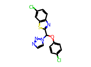 Clc1ccc(OC(c2nc3ccc(Cl)cc3s2)n2ccnn2)cc1